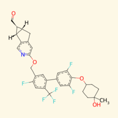 CC1(O)CCC(Oc2c(F)cc(-c3cc(COc4cc5c(cn4)[C@@H]4[C@@H](C=O)[C@@H]4C5)c(F)cc3C(F)(F)F)cc2F)CC1